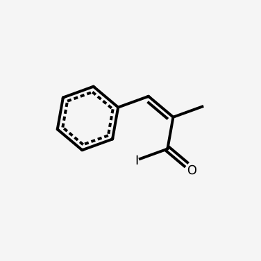 CC(=Cc1ccccc1)C(=O)I